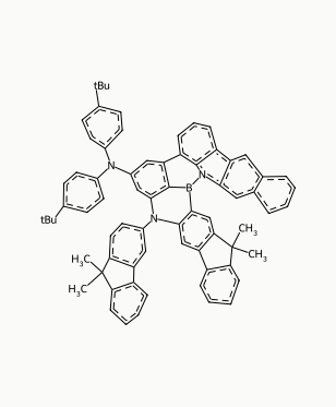 CC(C)(C)c1ccc(N(c2ccc(C(C)(C)C)cc2)c2cc3c4c(c2)N(c2ccc5c(c2)-c2ccccc2C5(C)C)c2cc5c(cc2B4n2c4cc6ccccc6cc4c4cccc-3c42)C(C)(C)c2ccccc2-5)cc1